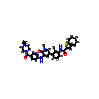 CC(=O)N1CCN(C(=O)c2ccc(Nc3cc(-c4cccc(NC(=O)c5cc6c(s5)CCCCC6)c4C)cn(C)c3=O)nc2)CC1